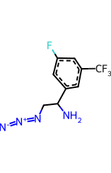 [N-]=[N+]=NCC(N)c1cc(F)cc(C(F)(F)F)c1